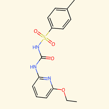 CCOc1cccc(NC(=O)NS(=O)(=O)c2ccc(C)cc2)n1